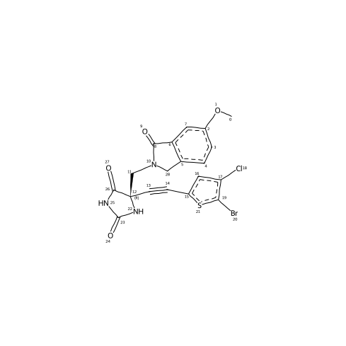 COc1ccc2c(c1)C(=O)N(C[C@@]1(C#Cc3cc(Cl)c(Br)s3)NC(=O)NC1=O)C2